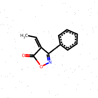 C/C=C1\C(=O)ON=C1c1ccccc1